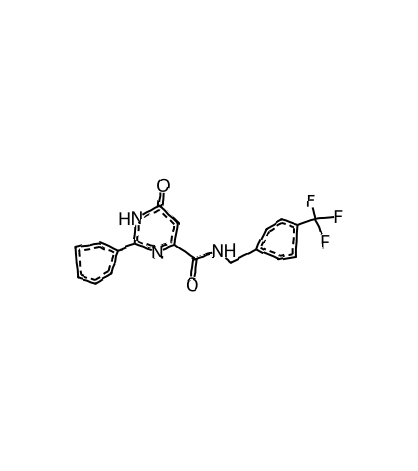 O=C(NCc1ccc(C(F)(F)F)cc1)c1cc(=O)[nH]c(-c2ccccc2)n1